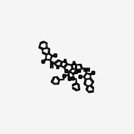 O=C1c2cc3ccccc3cc2C(=O)C1Nc1cc2sc3c(c2s1)OC(C(=O)OCc1ccccc1)(C(=O)OCc1ccccc1)c1c-3sc2cc(NC3C(=O)c4cc5ccccc5cc4C3=O)sc12